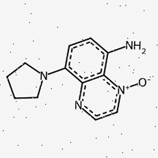 Nc1ccc(N2CCCC2)c2ncc[n+]([O-])c12